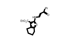 CCOC(=O)c1c(NC=CC(=O)C(C)C)sc2c1CCCC2